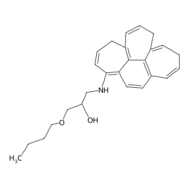 CCCCOCC(O)CNC1=c2ccc3c4c2=C(C=CCC4=CCC=C3)CC=C1